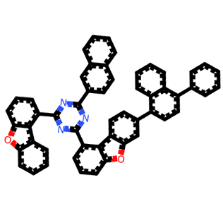 c1ccc(-c2ccc(-c3ccc4c(c3)oc3cccc(-c5nc(-c6ccc7ccccc7c6)nc(-c6cccc7oc8ccccc8c67)n5)c34)c3ccccc23)cc1